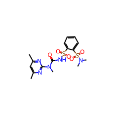 Cc1cc(C)nc(N(C)C(=O)NS(=O)(=O)c2ccccc2S(=O)(=O)N(C)C)n1